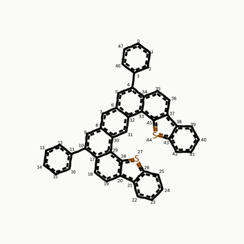 c1ccc(-c2cc3cc4cc(-c5ccccc5)c5ccc6c7ccccc7sc6c5c4cc3c3c2ccc2c4ccccc4sc23)cc1